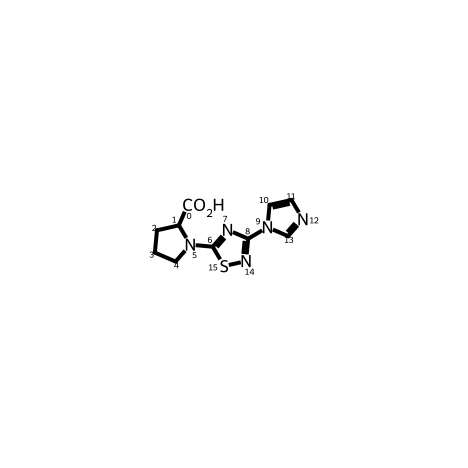 O=C(O)C1CCCN1c1nc(-n2ccnc2)ns1